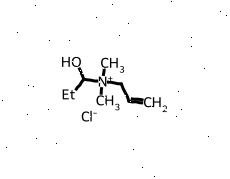 C=CC[N+](C)(C)C(O)CC.[Cl-]